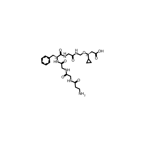 NCCC(=O)NCC(=O)NCC(=O)N[C@@H](Cc1ccccc1)C(=O)NCC(=O)NCO[C@@H](CC(=O)O)C1CC1